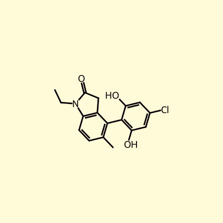 CCN1C(=O)Cc2c1ccc(C)c2-c1c(O)cc(Cl)cc1O